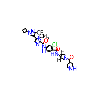 Cn1c(-c2cn(C3CCC3)nc2C(F)(F)F)cnc1C(=O)Nc1ccc(C(=O)N[C@H]2[C@@H]3CN(C(=O)C4CCNCC4)C[C@@H]32)c(Cl)c1